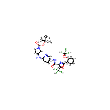 CC(C)(C)OC(=O)N1CCC(Nc2ccc(NC(=O)c3nc(-c4ccccc4OC(F)(F)F)oc3C(F)(F)F)cn2)C1